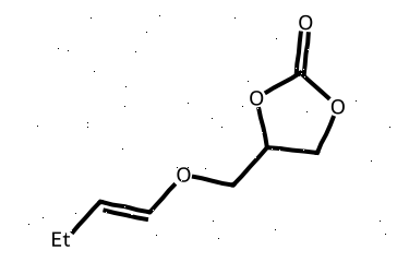 CCC=COCC1COC(=O)O1